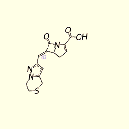 O=C(O)C1=CCC2/C(=C\c3cc4n(n3)CCSC4)C(=O)N12